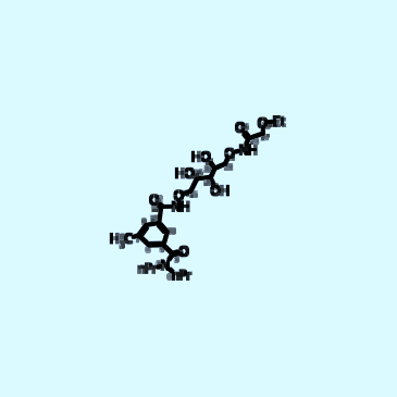 CCCN(CCC)C(=O)c1cc(C)cc(C(=O)NOC[C@H](O)[C@H](O)C(O)CONC(=O)COCC)c1